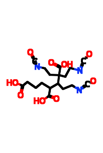 O=C=NCCC(C(CCCC(=O)O)C(=O)O)C(CCN=C=O)(CCN=C=O)C(=O)O